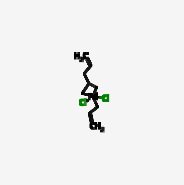 C=CCC1[CH2][Pd]([Cl])([Cl])([CH2]C=C)[CH2]1